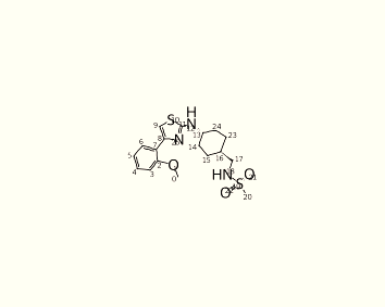 COc1ccccc1-c1csc(N[C@H]2CC[C@H](CNS(C)(=O)=O)CC2)n1